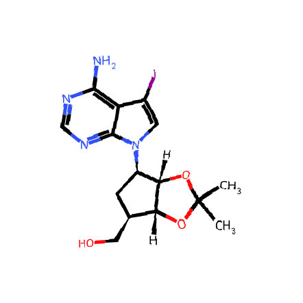 CC1(C)O[C@@H]2[C@@H](CO)C[C@@H](n3cc(I)c4c(N)ncnc43)[C@@H]2O1